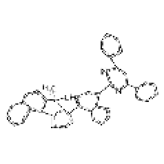 CC1(C)c2ccc3ccccc3c2-c2cccc(-c3ccc(-c4nc(-c5ccccc5)cc(-c5ccccc5)n4)c4ccccc34)c21